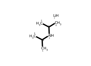 C[CH](C)[AlH][CH](C)C.[LiH]